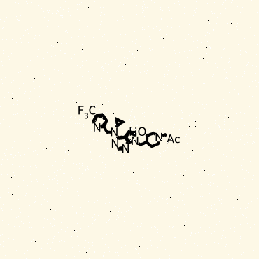 CC(=O)CN1CCC(Cn2ccc3c(N(Cc4ccc(C(F)(F)F)cn4)C4CC4)ncnc32)C(O)C1